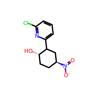 O=[N+]([O-])[C@H]1CC[C@H](O)C(c2cccc(Cl)n2)C1